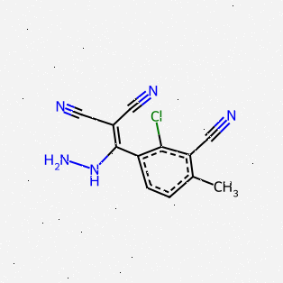 Cc1ccc(C(NN)=C(C#N)C#N)c(Cl)c1C#N